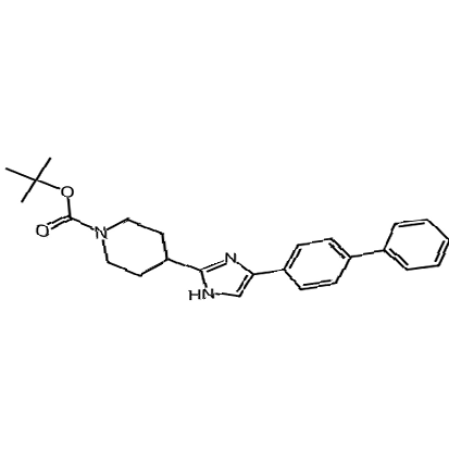 CC(C)(C)OC(=O)N1CCC(c2nc(-c3ccc(-c4ccccc4)cc3)c[nH]2)CC1